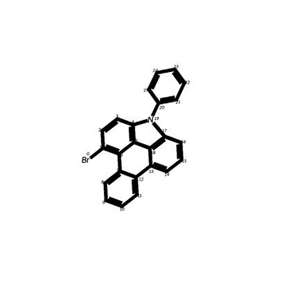 Brc1ccc2c3c1c1ccccc1c1cccc(c13)n2-c1ccccc1